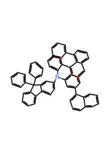 c1ccc(-c2cccc3cccc(-c4ccccc4N(c4cccc(-c5cccc6ccccc56)c4)c4ccc5c(c4)C(c4ccccc4)(c4ccccc4)c4ccccc4-5)c23)cc1